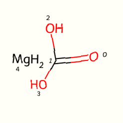 O=C(O)O.[MgH2]